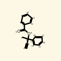 C#CC(C)(OC(=O)c1ccccc1)c1ccccc1